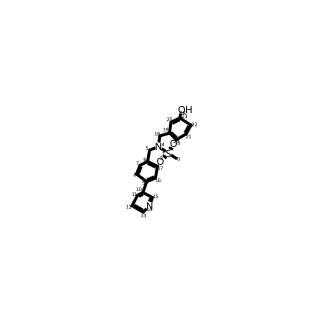 CS(=O)(=O)N(Cc1ccc(-c2cccnc2)cc1)Cc1cccc(O)c1